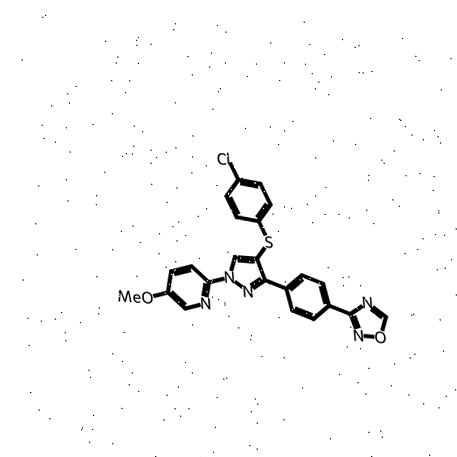 COc1ccc(-n2cc(Sc3ccc(Cl)cc3)c(-c3ccc(-c4ncon4)cc3)n2)nc1